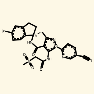 CS(=O)(=O)CC(=O)Nc1c2c(nn1-c1ccc(C#N)cn1)C[C@]1(CCc3cc(Br)ccc31)NC2=O